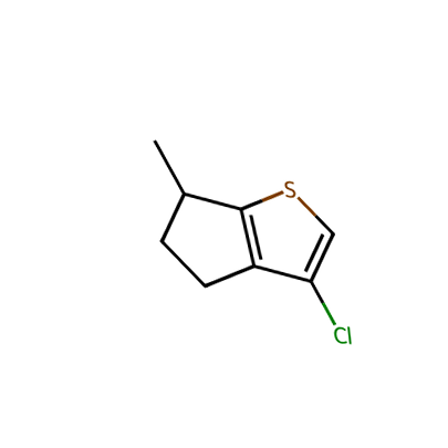 CC1CCc2c(Cl)csc21